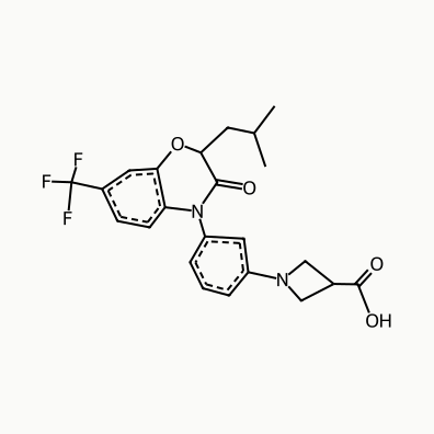 CC(C)CC1Oc2cc(C(F)(F)F)ccc2N(c2cccc(N3CC(C(=O)O)C3)c2)C1=O